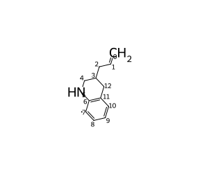 C=CCC1CNc2[c]cccc2C1